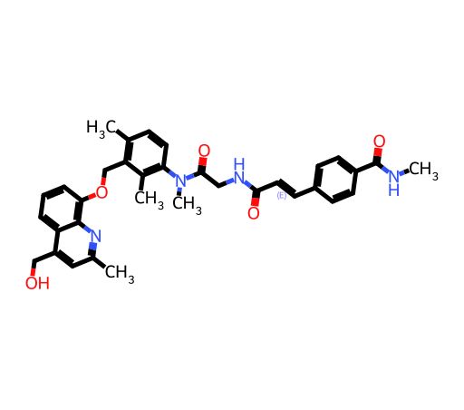 CNC(=O)c1ccc(/C=C/C(=O)NCC(=O)N(C)c2ccc(C)c(COc3cccc4c(CO)cc(C)nc34)c2C)cc1